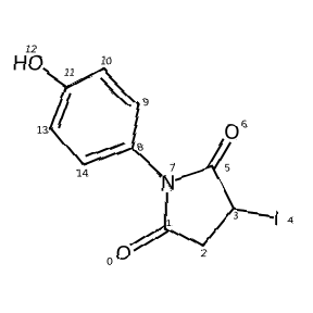 O=C1CC(I)C(=O)N1c1ccc(O)cc1